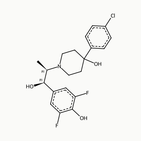 C[C@H]([C@H](O)c1cc(F)c(O)c(F)c1)N1CCC(O)(c2ccc(Cl)cc2)CC1